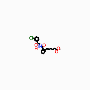 COC(=O)CCCC=CC1C2CCC(C2)C1C(=O)NCC(O)c1cccc(Cl)c1